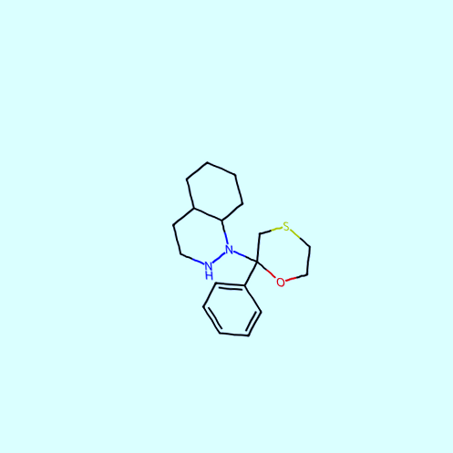 c1ccc(C2(N3NCCC4CCCCC43)CSCCO2)cc1